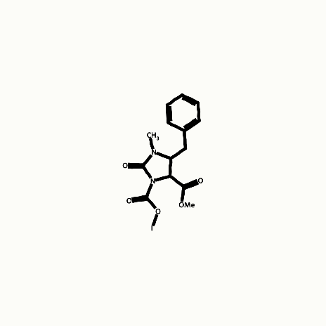 COC(=O)C1C(Cc2ccccc2)N(C)C(=O)N1C(=O)OI